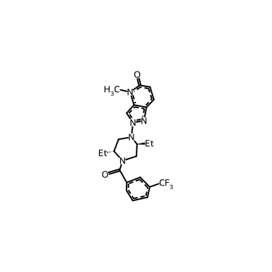 CC[C@@H]1CN(n2cc3c(ccc(=O)n3C)n2)[C@@H](CC)CN1C(=O)c1cccc(C(F)(F)F)c1